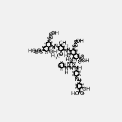 COc1cc(/N=N/c2cc(SOOO)cc3cc(SOOO)cc(O)c23)c(C)cc1N/N=C1\C(=O)c2c(cc(S(=O)(=O)O)cc2Nc2nc(Nc3ccccc3)nc(Nc3ccc(/N=N/c4ccc(C(=O)O)c(O)c4)cc3)n2)C=C1SOOO